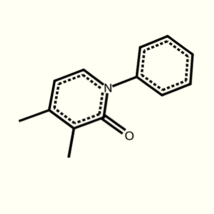 Cc1ccn(-c2ccccc2)c(=O)c1C